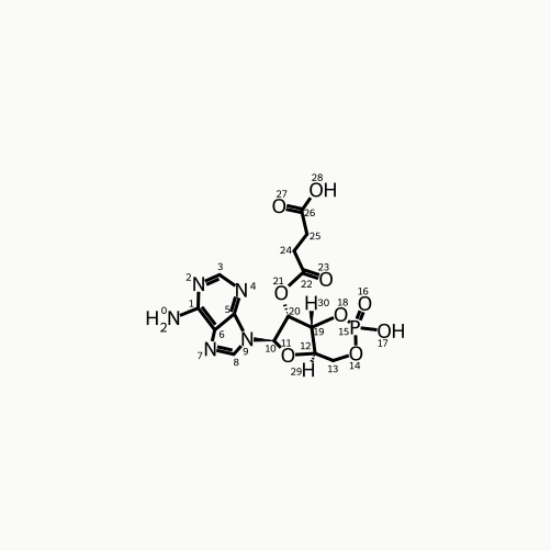 Nc1ncnc2c1ncn2[C@@H]1O[C@@H]2COP(=O)(O)O[C@H]2[C@H]1OC(=O)CCC(=O)O